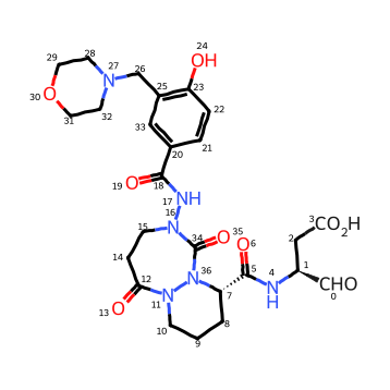 O=C[C@H](CC(=O)O)NC(=O)[C@@H]1CCCN2C(=O)CCN(NC(=O)c3ccc(O)c(CN4CCOCC4)c3)C(=O)N12